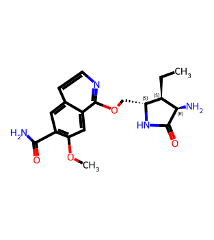 CC[C@@H]1[C@@H](COc2nccc3cc(C(N)=O)c(OC)cc23)NC(=O)[C@@H]1N